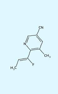 C/C=C(\F)c1ncc(C#N)cc1C